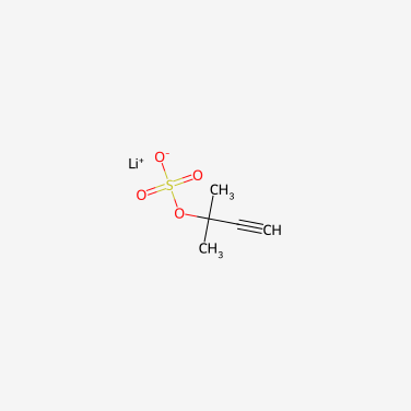 C#CC(C)(C)OS(=O)(=O)[O-].[Li+]